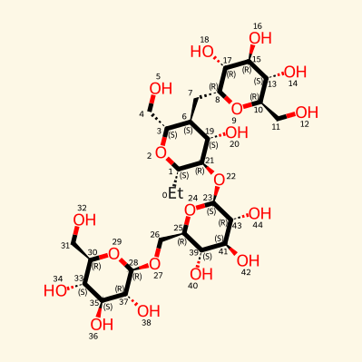 CC[C@@H]1O[C@H](CO)[C@@H](C[C@H]2O[C@H](CO)[C@@H](O)[C@H](O)[C@H]2O)[C@H](O)[C@H]1O[C@@H]1O[C@H](CO[C@@H]2O[C@H](CO)[C@@H](O)[C@H](O)[C@H]2O)[C@@H](O)[C@H](O)[C@H]1O